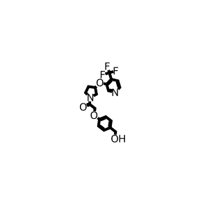 O=C(COc1ccc(CO)cc1)N1CCC(Oc2cnccc2C(F)(F)F)C1